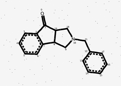 O=C1c2ccccc2C2CN(Cc3ccccc3)CC12